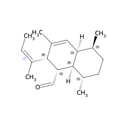 C/C=C(/C)[C@@H]1C(C)=C[C@@H]2[C@H]([C@@H]1C=O)[C@@H](C)CC[C@@H]2C